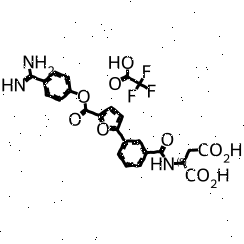 N=C(N)c1ccc(OC(=O)c2ccc(-c3cccc(C(=O)N[C@@H](CC(=O)O)C(=O)O)c3)o2)cc1.O=C(O)C(F)(F)F